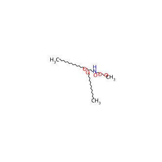 CCCCCCCCCCCCCCOCC(CCNC(=O)COCCOC)OCCCCCCCCCCCCCC